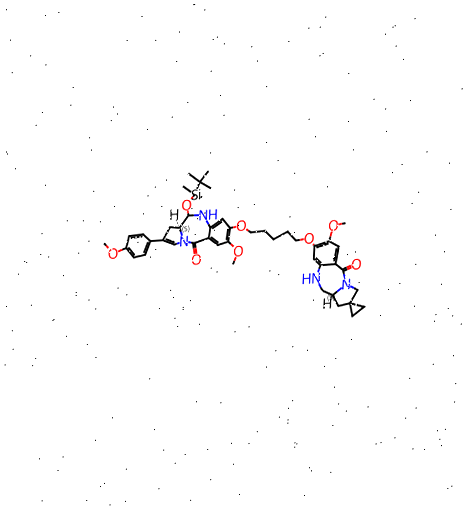 COc1ccc(C2=CN3C(=O)c4cc(OC)c(OCCCCCOc5cc6c(cc5OC)C(=O)N5CC7(CC7)C[C@H]5CN6)cc4NC(O[Si](C)(C)C(C)(C)C)[C@@H]3C2)cc1